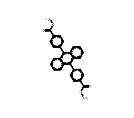 COC(=O)c1ccc(-c2c3ccccc3c(-c3ccc(C(=O)OC)cc3)c3ccccc23)cc1